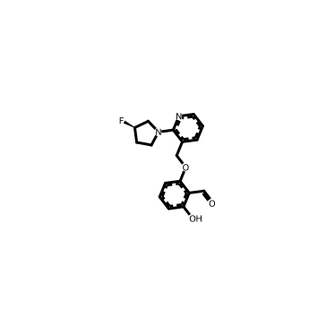 O=Cc1c(O)cccc1OCc1cccnc1N1CC[C@@H](F)C1